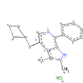 Cc1[nH]c2c(-c3ccccc3)ncc(CC3CCC3)c2c1C.Cl